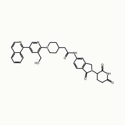 O=C1CCC(N2Cc3cc(NC(=O)CC4CCN(c5ncc(-c6nccc7ccccc67)cc5CO)CC4)ccc3C2=O)C(=O)N1